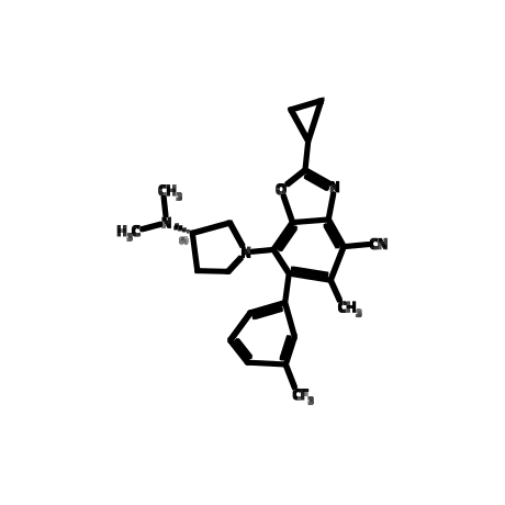 Cc1c(-c2cccc(C(F)(F)F)c2)c(N2CC[C@H](N(C)C)C2)c2oc(C3CC3)nc2c1C#N